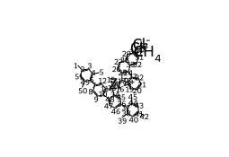 C.Cc1cc(C)c(-c2ccc3c(c2)[CH]([Zr+2]([CH3])([CH3])[CH]2c4ccccc4-c4c2ccc2ccccc42)c2cc(-c4c(C)cc(C)cc4C)ccc2-3)c(C)c1.[Cl-].[Cl-]